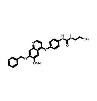 COc1cc2c(Oc3ccc(NC(=O)NCCC(C)(C)C)cc3)ccnc2cc1OCc1ccccc1